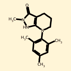 Cc1cc(C)c(N2CCCc3c2[nH]n(C)c3=O)c(C)c1